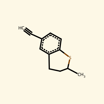 C#Cc1ccc2c(c1)CCC(C)S2